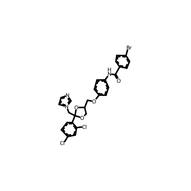 O=C(Nc1ccc(OCC2COC(Cn3ccnc3)(c3ccc(Cl)cc3Cl)O2)cc1)c1ccc(Br)cc1